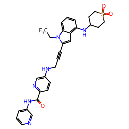 O=C(Nc1cccnc1)c1ccc(NCC#Cc2cc3c(NC4CCS(=O)(=O)CC4)cccc3n2CC(F)(F)F)cn1